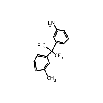 Cc1cccc(C(c2cccc(N)c2)(C(F)(F)F)C(F)(F)F)c1